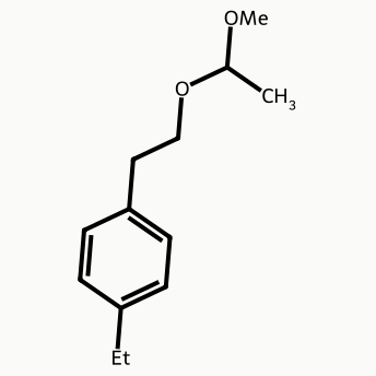 CCc1ccc(CCOC(C)OC)cc1